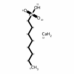 CCCCCCCCS(=O)(=O)O.[CaH2]